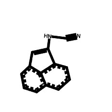 N#CNC1=Cc2cccc3cccc1c23